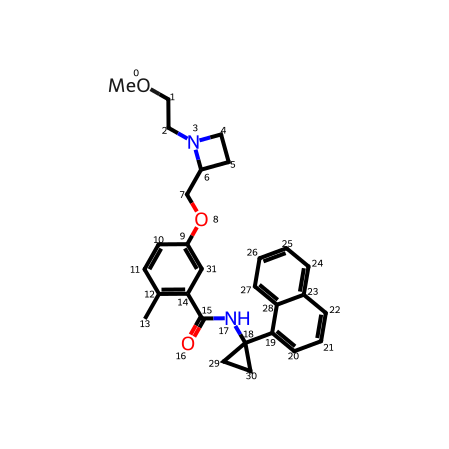 COCCN1CCC1COc1ccc(C)c(C(=O)NC2(c3cccc4ccccc34)CC2)c1